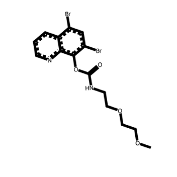 COCCOCCNC(=O)Oc1c(Br)cc(Br)c2cccnc12